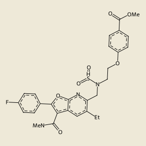 CCc1cc2c(C(=O)NC)c(-c3ccc(F)cc3)oc2nc1CN(CCOc1ccc(C(=O)OC)cc1)[SH](=O)=O